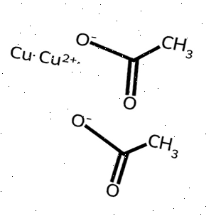 CC(=O)[O-].CC(=O)[O-].[Cu+2].[Cu]